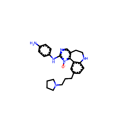 Nc1ccc(Nc2ncc3c([n+]2[O-])-c2cc(CCCN4CCCC4)ccc2NCC3)cc1